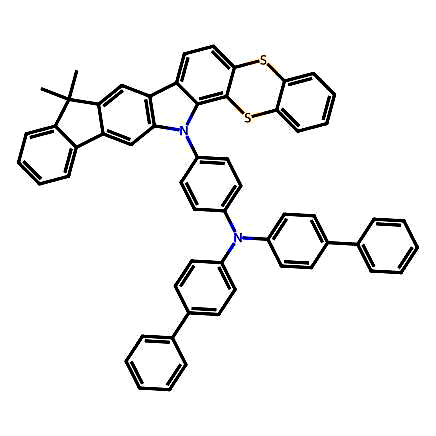 CC1(C)c2ccccc2-c2cc3c(cc21)c1ccc2c(c1n3-c1ccc(N(c3ccc(-c4ccccc4)cc3)c3ccc(-c4ccccc4)cc3)cc1)Sc1ccccc1S2